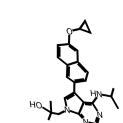 CC(C)Nc1ncnc2c1c(-c1ccc3cc(OC4CC4)ccc3c1)cn2CC(C)(C)O